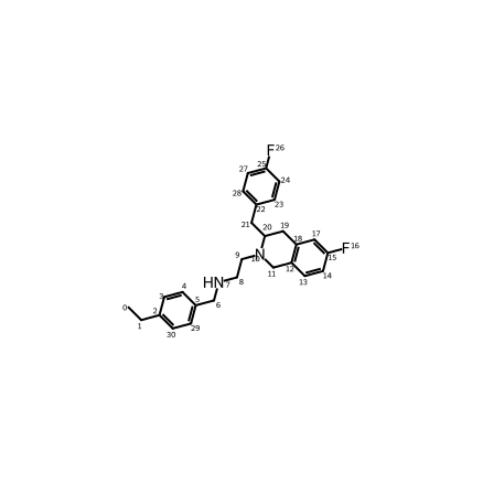 CCc1ccc(CNCCN2Cc3ccc(F)cc3CC2Cc2ccc(F)cc2)cc1